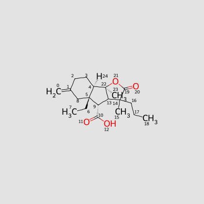 C=C1CC[C@@H]2[C@@](CC)(C1)[C@@H](C(=O)O)C1C(C)(CCC)C(=O)O[C@@]12C